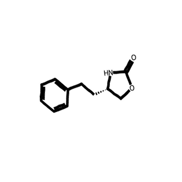 O=C1N[C@@H](CCc2ccccc2)CO1